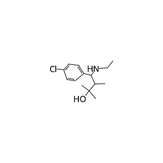 CCNC(c1ccc(Cl)cc1)C(C)C(C)(C)O